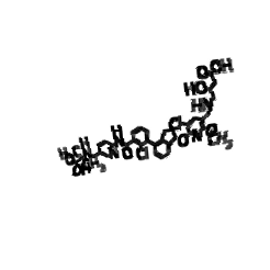 COc1nc(O[C@H]2CCc3c(-c4cccc(C(=O)Nc5ccc(CNC(C)(C)C(=O)O)cn5)c4Cl)cccc32)c(Cl)cc1CNCC(O)CC(=O)O